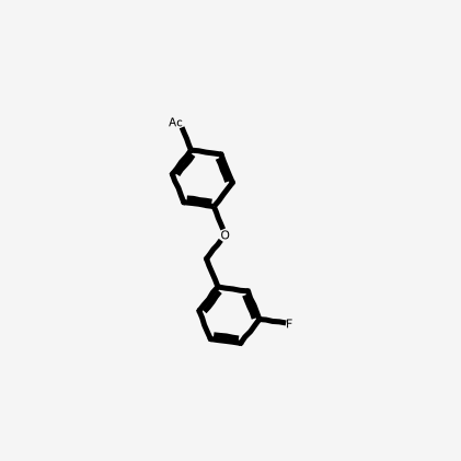 CC(=O)c1ccc(OCc2cccc(F)c2)cc1